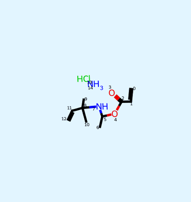 C=CC(=O)OC(C)NC(C)(C)C=C.Cl.N